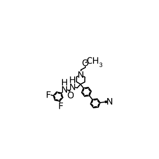 COCCN1CCC(CNC(=O)Nc2cc(F)cc(F)c2)(c2ccc(-c3cccc(C#N)c3)cc2)CC1